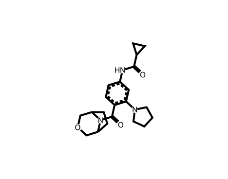 O=C(Nc1ccc(C(=O)N2C3CCC2COC3)c(N2CCCC2)c1)C1CC1